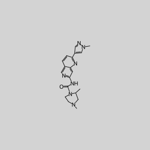 CC1CN(C)CCN1C(=O)Nc1cc2nc(-c3cnn(C)c3)ccc2cn1